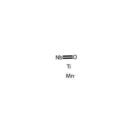 [Mn].[O]=[Nb].[Ti]